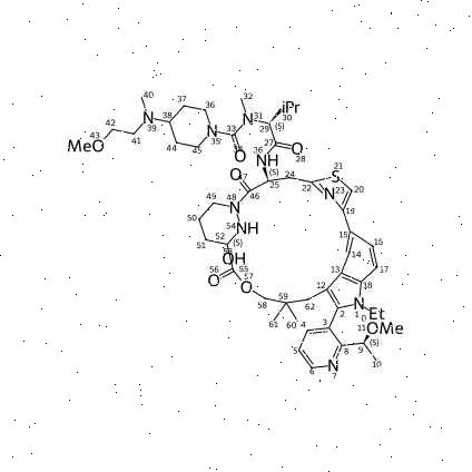 CCn1c(-c2cccnc2[C@H](C)OC)c2c3cc(ccc31)-c1csc(n1)C[C@H](NC(=O)[C@H](C(C)C)N(C)C(=O)N1CCC(N(C)CCOC)CC1)C(=O)N1CCC[C@@](O)(N1)C(=O)OCC(C)(C)C2